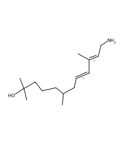 CC(/C=C/CC(C)CCCC(C)(C)O)=C\CN